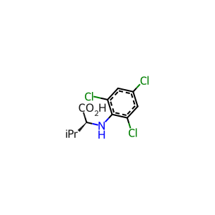 CC(C)[C@H](Nc1c(Cl)cc(Cl)cc1Cl)C(=O)O